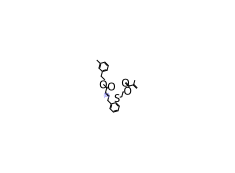 C=C(C)C(=O)OCCSc1ccccc1C/C=C/C(=O)OCCc1cccc(C)c1